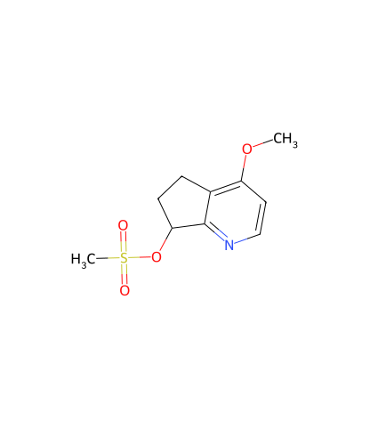 COc1ccnc2c1CCC2OS(C)(=O)=O